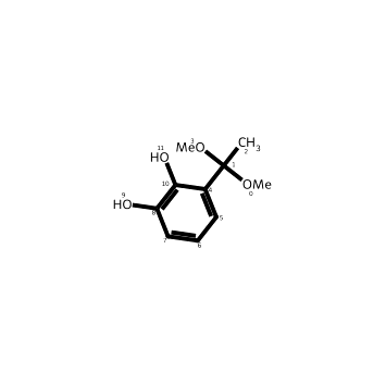 COC(C)(OC)c1cccc(O)c1O